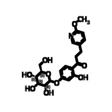 COc1ccc(CCC(=O)c2ccc(OC3O[C@H](CO)[C@@H](O)[C@H](O)[C@H]3O)cc2O)cn1